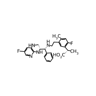 Cc1cc(F)c([C@H](C)C(=O)O)cc1CCN[C@H](c1ccccc1)[C@H]1CNc2cc(F)cnc2N1